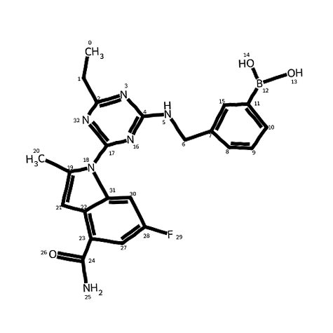 CCc1nc(NCc2cccc(B(O)O)c2)nc(-n2c(C)cc3c(C(N)=O)cc(F)cc32)n1